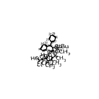 CC[C@H](O)C(C)(C)[C@@H](O)[C@@H](C)/C(C)=C(\C)[C@H](C)OC(=O)[C@H](O[Si](C)(C)C(C)(C)C)C(c1ccccc1)c1ccccc1